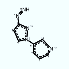 N=Nc1ccn(-c2cccnc2)n1